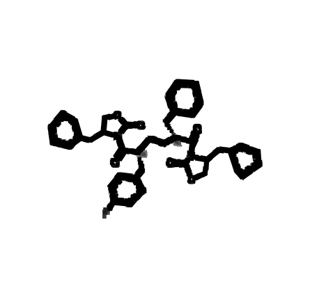 O=C1OCC(Cc2ccccc2)N1C(=O)[C@H](C=C[C@H](Cc1ccc(F)cc1)C(=O)N1C(=O)OCC1Cc1ccccc1)Cc1ccccc1